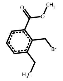 CCc1cccc(C(=O)OC)c1CBr